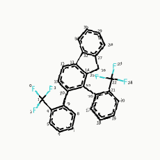 FC(F)(F)c1ccccc1-c1ccc2c(c1-c1ccccc1C(F)(F)F)Cc1ccccc1-2